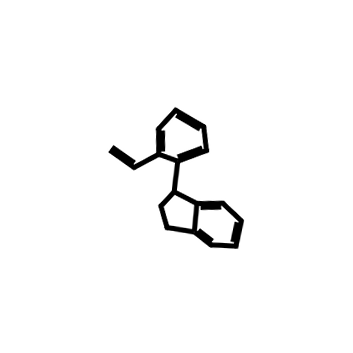 C=Cc1ccccc1C1CCc2ccccc21